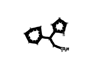 O=C(O)CC(c1ccccc1)c1cccs1